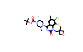 Cc1cc2c(N3C[C@@H](C)N(C(=O)OC(C)(C)C)C[C@@H]3C)nc(=O)n3c2c(c1Cl)SCC1(COC1)C3